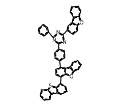 c1ccc(-c2nc(-c3ccc(-c4ccc(-c5cccc6c5sc5ccccc56)c5oc6ccccc6c45)cc3)nc(-c3ccc4oc5ccccc5c4c3)n2)cc1